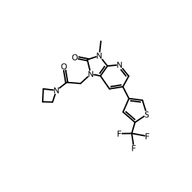 Cn1c(=O)n(CC(=O)N2CCC2)c2cc(-c3csc(C(F)(F)F)c3)cnc21